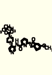 COc1ccc2c(c1)C(=O)N(c1cccc(C(=O)Nc3cnccc3N3CCN(C(=O)OC(C)(C)C)CC3)n1)C2